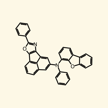 c1ccc(-c2nc3c(o2)-c2cccc4cc(N(c5ccccc5)c5cccc6c5oc5ccccc56)cc-3c24)cc1